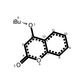 CC[C@@H](C)Oc1cc(=O)oc2ccccc12